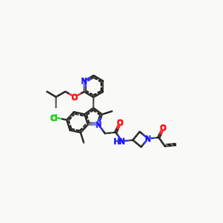 C=CC(=O)N1CC(NC(=O)Cn2c(C)c(-c3cccnc3OCC(C)C)c3cc(Cl)cc(C)c32)C1